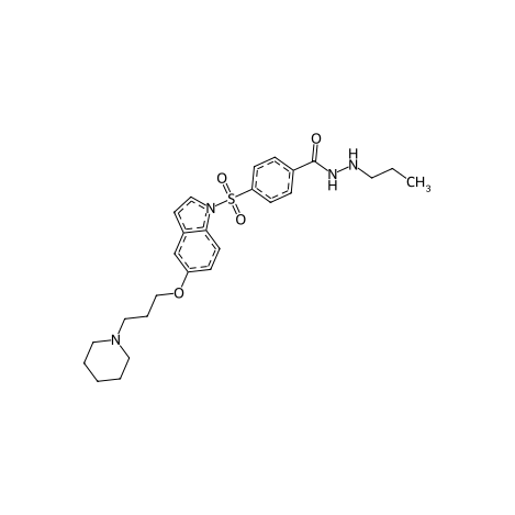 CCCNNC(=O)c1ccc(S(=O)(=O)n2ccc3cc(OCCCN4CCCCC4)ccc32)cc1